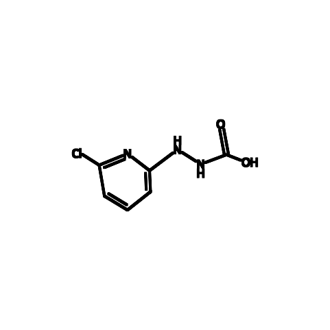 O=C(O)NNc1cccc(Cl)n1